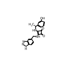 C[C@H](Nc1c(NCc2ccc3[nH]nnc3c2)c(=O)c1=O)c1cccc(O)c1